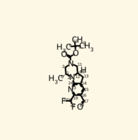 C[C@@H]1CN(C(=O)OC(C)(C)C)C[C@H]2Cc3cc(C=O)c(C(F)F)nc3N21